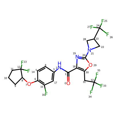 O=C(Nc1ccc(OC2CCCC2(F)F)c(F)c1)c1nc(N2CC(C(F)(F)F)C2)oc1CC(F)(F)F